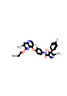 COCCOc1nc2c(Oc3ccc(NC(=O)c4cnc(C)c(-c5ccc(F)cc5)c4O)cc3F)ccnc2cc1C